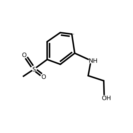 CS(=O)(=O)c1cc[c]c(NCCO)c1